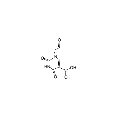 O=CCn1cc(N(O)O)c(=O)[nH]c1=O